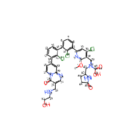 COc1nc(-c2cccc(-c3cccc(-c4ccn5c(=O)c(CNCCO)cnc5c4)c3Cl)c2Cl)cc(Cl)c1CN(CC1CCC(=O)N1)C(=O)O